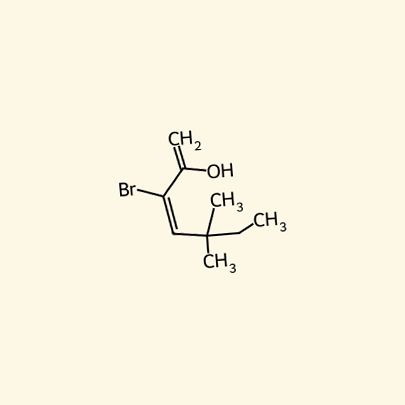 C=C(O)/C(Br)=C\C(C)(C)CC